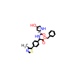 Cc1ncsc1-c1ccc([C@@H](NC(=O)[C@@H]2C[C@@H](O)CN2)C(=O)OCc2ccccc2)cc1